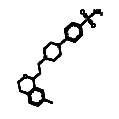 Cc1ccc2c(c1)C(CCN1CCN(c3ccc(S(N)(=O)=O)cc3)CC1)OCC2